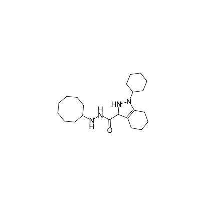 O=C(NNC1CCCCCCC1)C1NN(C2CCCCC2)C2=C1CCCC2